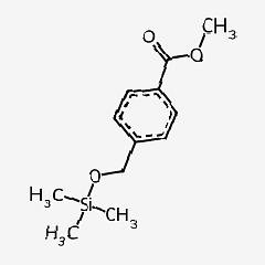 COC(=O)c1ccc(CO[Si](C)(C)C)cc1